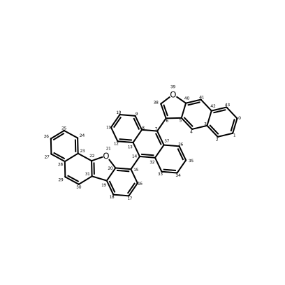 c1ccc2cc3c(-c4c5ccccc5c(-c5cccc6c5oc5c7ccccc7ccc65)c5ccccc45)coc3cc2c1